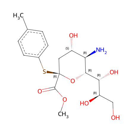 COC(=O)[C@]1(Sc2ccc(C)cc2)C[C@H](O)[C@@H](N)[C@H]([C@H](O)[C@H](O)CO)O1